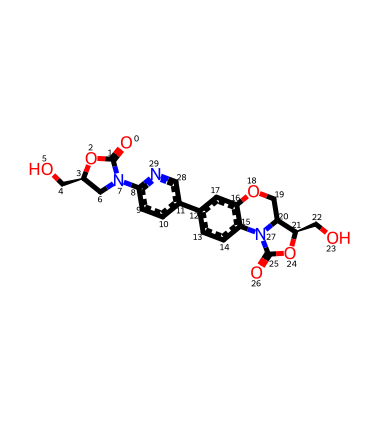 O=C1O[C@H](CO)CN1c1ccc(-c2ccc3c(c2)OCC2[C@@H](CO)OC(=O)N32)cn1